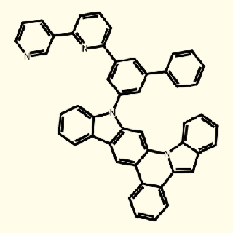 c1ccc(-c2cc(-c3cccc(-c4cccnc4)n3)cc(-n3c4ccccc4c4cc5c6ccccc6c6cc7ccccc7n6c5cc43)c2)cc1